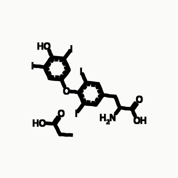 CCC(=O)O.NC(Cc1cc(I)c(Oc2cc(I)c(O)c(I)c2)c(I)c1)C(=O)O